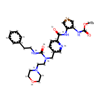 CC(C)(C)OC(=O)Nc1cscc1NC(=O)c1ccc(CN(CCN2CCOCC2)C(=O)NCCc2ccccc2)cn1